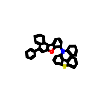 c1ccc(-c2cc3oc4c(N(c5ccccc5)c5cccc6sc7ccccc7c56)cccc4c3c3ccccc23)cc1